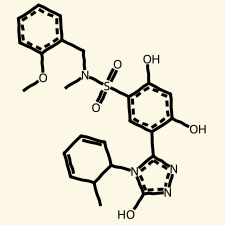 COc1ccccc1CN(C)S(=O)(=O)c1cc(-c2nnc(O)n2C2C=CC=CC2C)c(O)cc1O